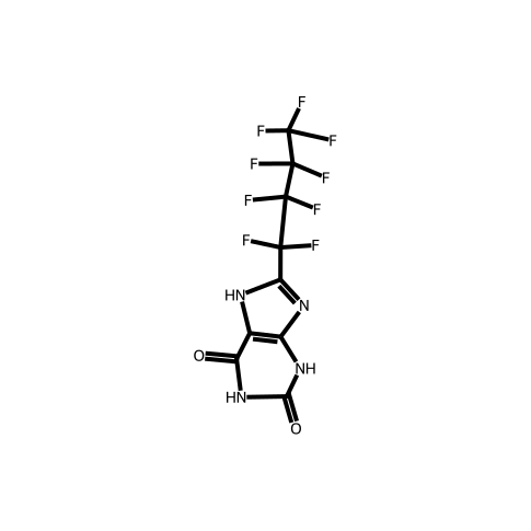 O=c1[nH]c(=O)c2[nH]c(C(F)(F)C(F)(F)C(F)(F)C(F)(F)F)nc2[nH]1